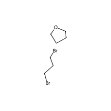 BrCCCBr.C1CCOC1